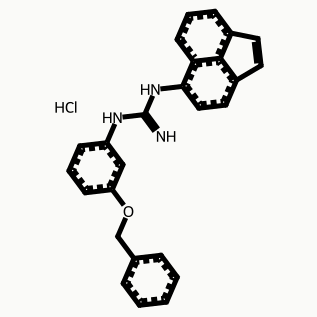 Cl.N=C(Nc1cccc(OCc2ccccc2)c1)Nc1ccc2c3c(cccc13)C=C2